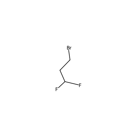 FC(F)CCBr